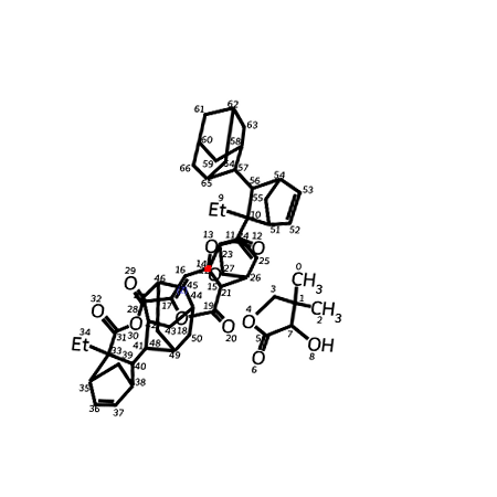 CC1(C)COC(=O)C1O.CCC1(C(=O)OC(=O)/C=C(\OC(=O)C2CC3C=CC2C3)C(=O)OC(=O)C2(CC)C3C=CC(C3)C2C2C3CC4CC(C3)CC2C4)C2C=CC(C2)C1C1C2CC3CC(C2)CC1C3